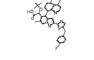 Cc1cn2nc(-c3ncc(Cc4ccc(F)cc4)s3)cc2c(-c2ccc3c4c(ccnc24)CCO3)c1[C@H](OC(C)(C)C)C(=O)O